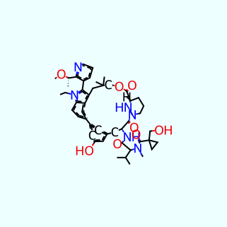 CCn1c(-c2cccnc2[C@H](C)OC)c2c3cc(ccc31)-c1cc(O)cc(c1)C[C@H](NC(=O)C(C(C)C)N(C)C(=O)C1(CO)CC1)C(=O)N1CCC[C@H](N1)C(=O)OCC(C)(C)C2